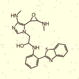 CNc1ncn(CC(O)Nc2ccccc2-c2nc3ccccc3s2)c1C1OC1NC